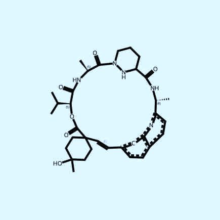 CC(C)[C@@H]1OC(=O)C2(/C=C/c3ccc4ccc(nc4c3)[C@@H](C)NC(=O)C3CCCN(N3)C(=O)[C@H](C)NC1=O)CCC(C)(O)CC2